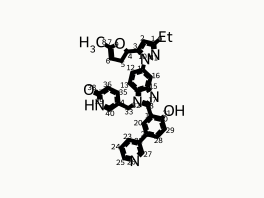 CCc1cc(C2CC=C(C)O2)n(-c2ccc3c(c2)nc(-c2cc(-c4cccnc4)ccc2O)n3Cc2ccc(=O)[nH]c2)n1